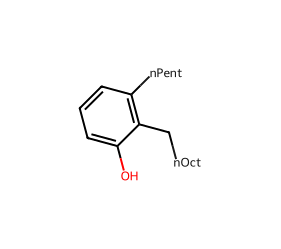 CCCCCCCCCc1c(O)cccc1CCCCC